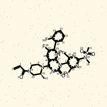 C=CC(=O)N1CCN(c2nc(=O)n(-c3c(C(C)C)nc(N(C)S(C)(=O)=O)nc3C(C)C)c3nc(-c4ccccc4F)c(F)cc23)[C@@H](C)C1